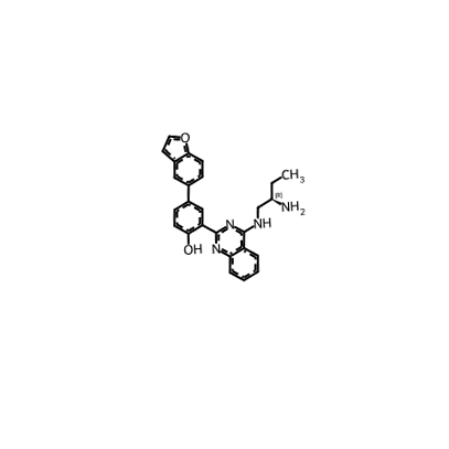 CC[C@@H](N)CNc1nc(-c2cc(-c3ccc4occc4c3)ccc2O)nc2ccccc12